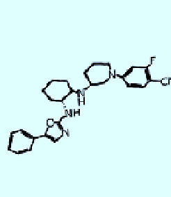 N#Cc1ccc(N2CCC[C@H](N[C@@H]3CCCC[C@H]3Nc3ncc(-c4ccccc4)o3)C2)cc1F